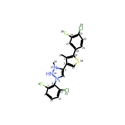 Cc1c(C2=CN(c3c(F)cccc3Cl)NN2C)csc1-c1ccc(Cl)c(F)c1